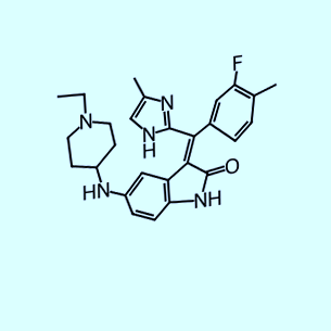 CCN1CCC(Nc2ccc3c(c2)C(=C(c2ccc(C)c(F)c2)c2nc(C)c[nH]2)C(=O)N3)CC1